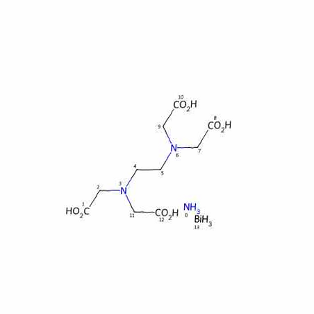 N.O=C(O)CN(CCN(CC(=O)O)CC(=O)O)CC(=O)O.[BiH3]